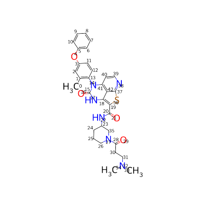 Cc1cc(Oc2ccccc2)ccc1N1C(=O)Nc2c(C(=O)NC3CCCN(C(=O)CCN(C)C)C3)sc3nccc1c23